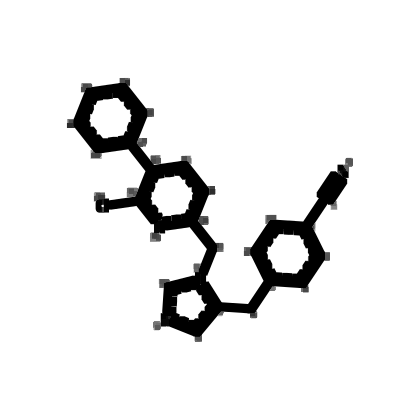 N#Cc1ccc(Cc2cncn2Cc2ccc(-c3ccccc3)c(Cl)n2)cc1